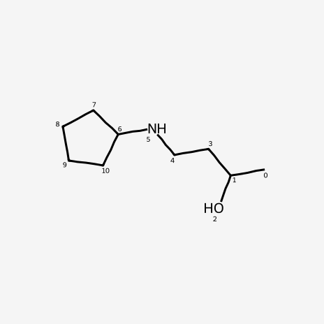 CC(O)CCNC1CCCC1